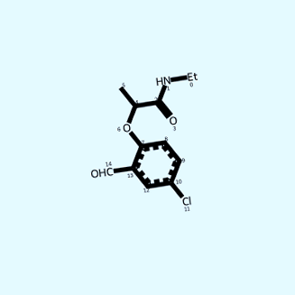 CCNC(=O)C(C)Oc1ccc(Cl)cc1C=O